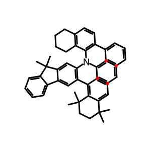 CC1(C)CCC(C)(C)c2c(-c3cc4c(cc3N(c3ccccc3)c3c(-c5ccccc5)ccc5c3CCCC5)C(C)(C)c3ccccc3-4)cccc21